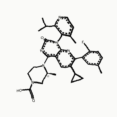 Cc1ccc(F)c(-c2nc3c(cc2C2CC2)c(N2CCN(C(=O)O)C[C@@H]2C)nc(=O)n3-c2c(C)ccnc2C(C)C)c1